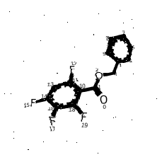 O=C(OCc1ccccc1)c1c(F)cc(F)c(F)c1F